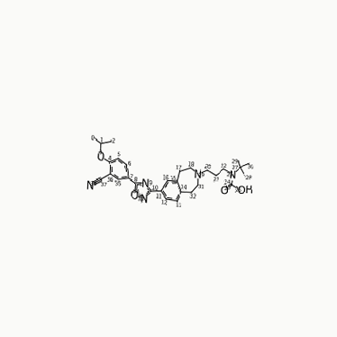 CC(C)Oc1ccc(-c2nc(-c3ccc4c(c3)CCN(CCCN(C(=O)O)C(C)(C)C)CC4)no2)cc1C#N